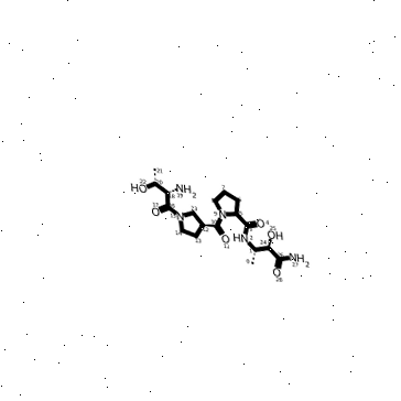 C[C@H](NC(=O)C1CCCN1C(=O)[C@H]1CCN(C(=O)[C@@H](N)[C@@H](C)O)C1)[C@@H](O)C(N)=O